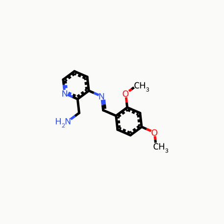 COc1ccc(C=Nc2cccnc2CN)c(OC)c1